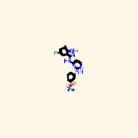 CN(C)S(=O)(=O)c1cccc(Nc2nccc(Nc3n[nH]c4ccc(F)cc34)n2)c1